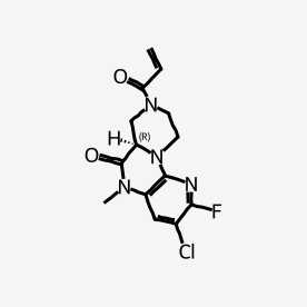 C=CC(=O)N1CCN2c3nc(F)c(Cl)cc3N(C)C(=O)[C@H]2C1